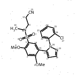 COc1cc(OC)c(S(=O)(=O)N(C)CCC#N)cc1-c1ccnn1-c1ccccc1Cl